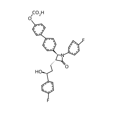 O=C(O)Oc1ccc(-c2ccc([C@@H]3[C@@H](CC[C@H](O)c4ccc(F)cc4)C(=O)N3c3ccc(F)cc3)cc2)cc1